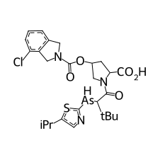 CC(C)c1cnc([AsH]C(C(=O)N2CC(OC(=O)N3Cc4cccc(Cl)c4C3)CC2C(=O)O)C(C)(C)C)s1